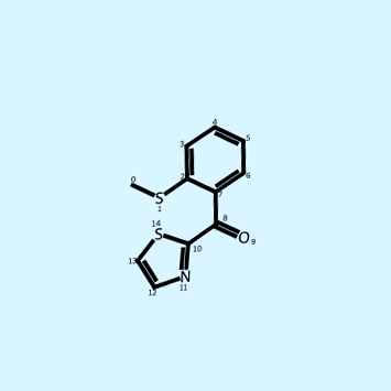 CSc1ccccc1C(=O)c1nccs1